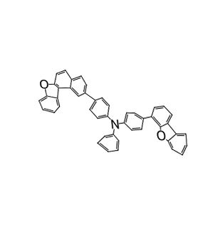 c1ccc(N(c2ccc(-c3ccc4ccc5oc6ccccc6c5c4c3)cc2)c2ccc(-c3cccc4c3oc3ccccc34)cc2)cc1